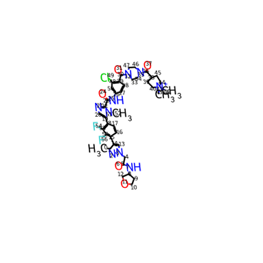 Cc1nn(CC(=O)NC2CCOC2)cc1-c1ccc(-c2cnc(C(=O)Nc3ccc(C(=O)N4CCN(C(=O)C5CC[N+](C)(C)CC5)CC4)c(Cl)c3)n2C)c(F)c1F